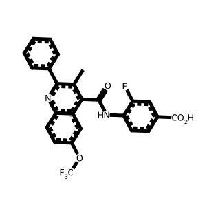 Cc1c(-c2ccccc2)nc2ccc(OC(F)(F)F)cc2c1C(=O)Nc1ccc(C(=O)O)cc1F